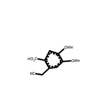 COc1cc(CC#N)c(C(=O)O)cc1OC